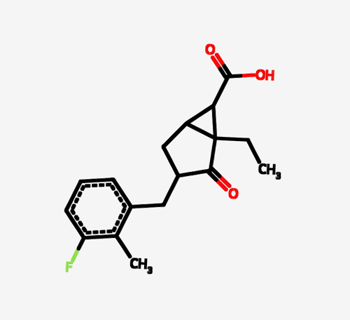 CCC12C(=O)C(Cc3cccc(F)c3C)CC1C2C(=O)O